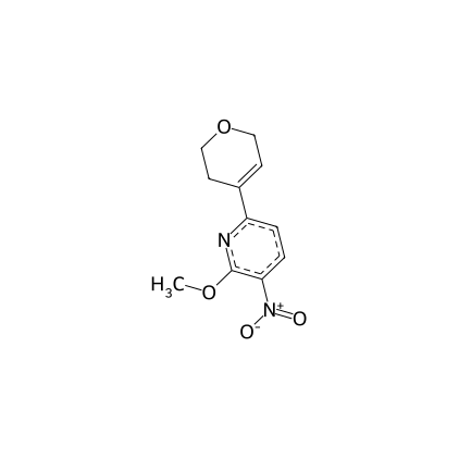 COc1nc(C2=CCOCC2)ccc1[N+](=O)[O-]